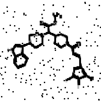 COC(=O)C(C1CCN(C(=O)C=Cc2cc(F)c(F)c(F)c2)CC1)N1CCC(c2c[nH]c3ccccc23)CC1